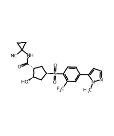 Cn1nccc1-c1ccc(S(=O)(=O)[C@H]2C[C@@H](O)[C@H](C(=O)NC3(C#N)CC3)C2)c(C(F)(F)F)c1